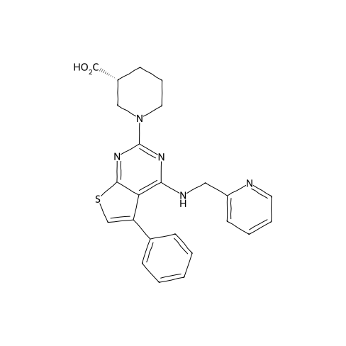 O=C(O)[C@@H]1CCCN(c2nc(NCc3ccccn3)c3c(-c4ccccc4)csc3n2)C1